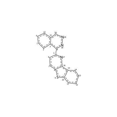 c1ccc2c(-c3ccc4sc5ccccc5c4n3)nncc2c1